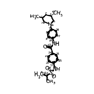 CC1C[C@H](C)CN(c2ccc(NC(=O)c3ccc(NS(=O)(=O)C(C)C)cc3)cc2)C1